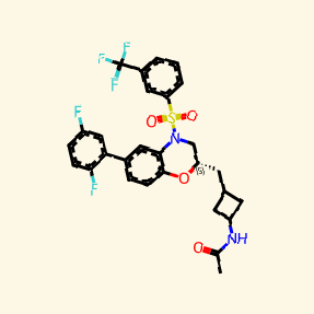 CC(=O)NC1CC(C[C@H]2CN(S(=O)(=O)c3cccc(C(F)(F)F)c3)c3cc(-c4cc(F)ccc4F)ccc3O2)C1